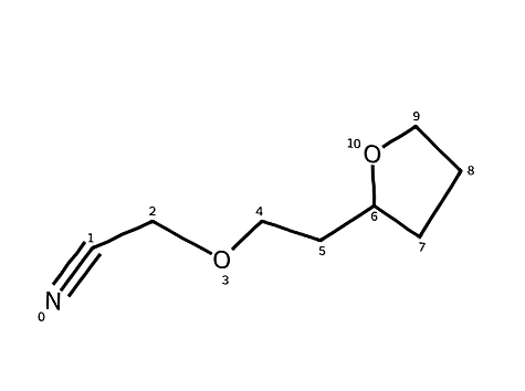 N#CCOCCC1CCCO1